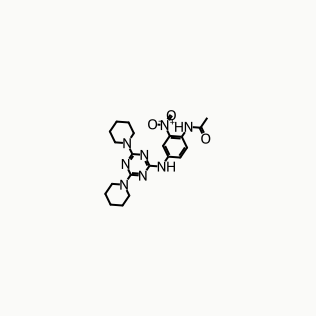 CC(=O)Nc1ccc(Nc2nc(N3CCCCC3)nc(N3CCCCC3)n2)cc1[N+](=O)[O-]